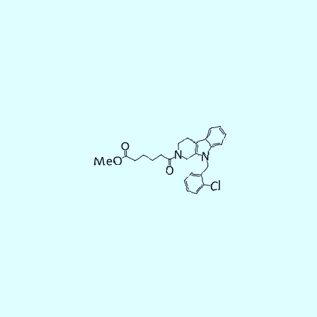 COC(=O)CCCCC(=O)N1CCc2c(n(Cc3ccccc3Cl)c3ccccc23)C1